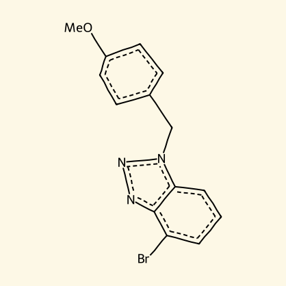 COc1ccc(Cn2nnc3c(Br)cccc32)cc1